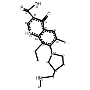 CCc1c(N2CCC(CNC)C2)c(F)cc2c(=O)c(C(=O)O)c[nH]c12